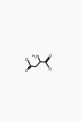 NC(CC(=O)Cl)C(=O)Cl